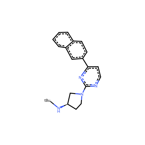 CC(C)(C)N[C@@H]1CCN(c2nccc(-c3ccc4ccccc4c3)n2)C1